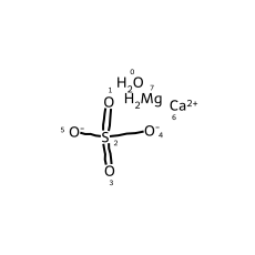 O.O=S(=O)([O-])[O-].[Ca+2].[MgH2]